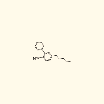 CCCCCc1ccc(C#N)c(-c2ccccc2)c1